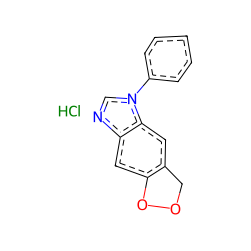 Cl.c1ccc(-n2cnc3cc4c(cc32)COO4)cc1